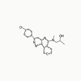 CC(O)CN(C)c1nc2cc(-c3ccc(Cl)cc3)nnc2c2ccccc12